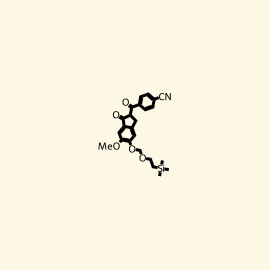 COc1cc2c(cc1OCOCC[Si](C)(C)C)CC(C(=O)c1ccc(C#N)cc1)C2=O